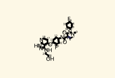 C=NN(C(=O)/C(=C\C)C(=O)Nc1ccc(Oc2ccnc3[nH]nc(NCCO)c23)c(F)c1)c1ccc(F)cc1